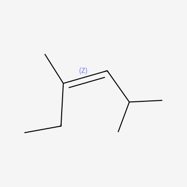 CC/C(C)=C\C(C)C